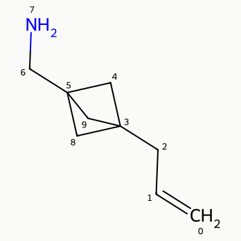 C=CCC12CC(CN)(C1)C2